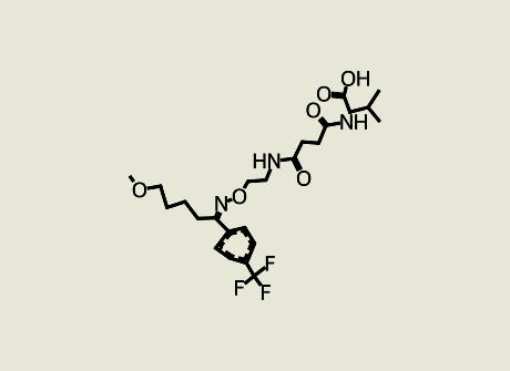 COCCCC/C(=N/OCCNC(=O)CCC(=O)N[C@H](C(=O)O)C(C)C)c1ccc(C(F)(F)F)cc1